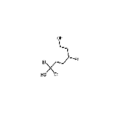 CCC(CCO)CCC(O)(CC)CC